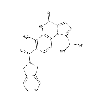 CCCC(CCC)c1ncc2c(=O)[nH]c3c(C)c(C(=O)N4Cc5ccccc5C4)ccc3n12